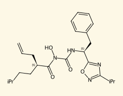 C=CC[C@H](CCC(C)C)C(=O)N(O)C(=O)N[C@@H](Cc1ccccc1)c1nc(C(C)C)no1